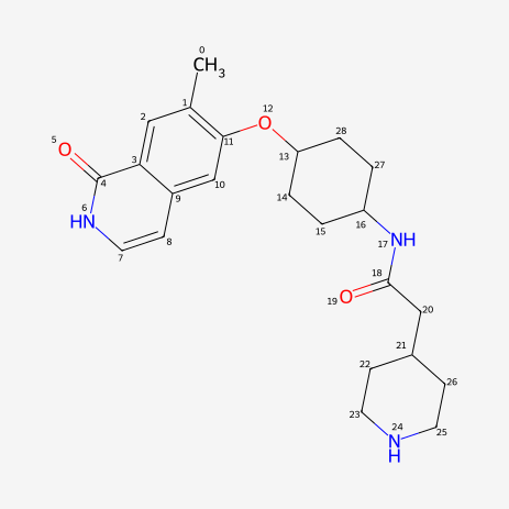 Cc1cc2c(=O)[nH]ccc2cc1OC1CCC(NC(=O)CC2CCNCC2)CC1